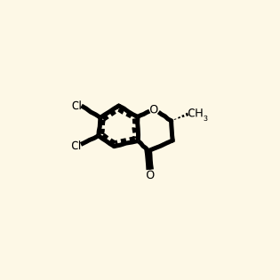 C[C@@H]1CC(=O)c2cc(Cl)c(Cl)cc2O1